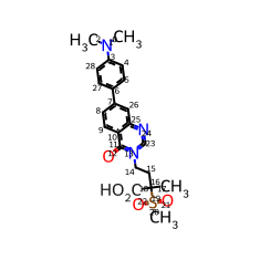 CN(C)c1ccc(-c2ccc3c(=O)n(CCC(C)(C(=O)O)S(C)(=O)=O)cnc3c2)cc1